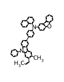 C/C=C\c1cc2c(cc1C)c1cc(-c3ccc(N(c4ccc5oc6ccccc6c5c4)c4cccc5ccccc45)cc3)ccc1n2-c1ccccc1